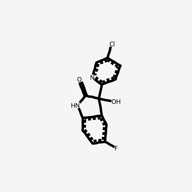 O=C1Nc2ccc(F)cc2C1(O)c1ccc(Cl)cn1